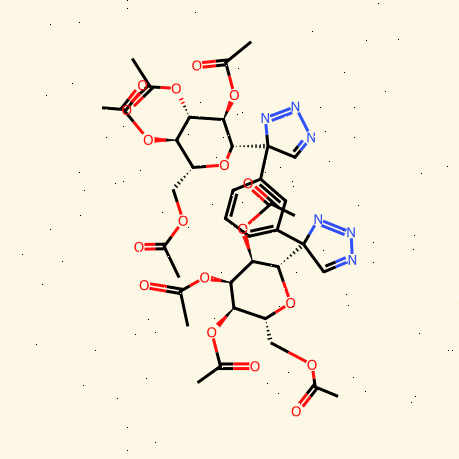 CC(=O)OC[C@H]1O[C@@H](C2(c3cccc(C4([C@@H]5O[C@H](COC(C)=O)[C@@H](OC(C)=O)[C@@H](OC(C)=O)[C@H]5OC(C)=O)C=NN=N4)c3)C=NN=N2)[C@H](OC(C)=O)[C@@H](OC(C)=O)[C@@H]1OC(C)=O